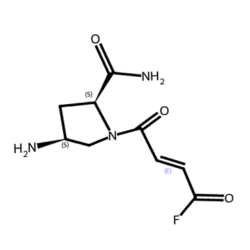 NC(=O)[C@@H]1C[C@H](N)CN1C(=O)/C=C/C(=O)F